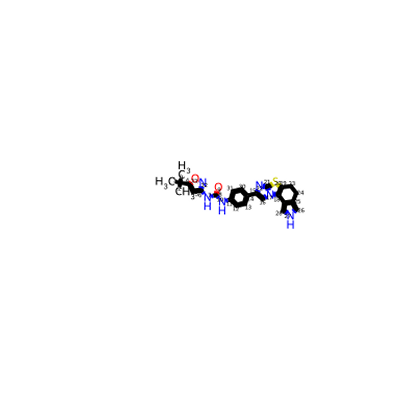 CC(C)(C)c1cc(NC(=O)Nc2ccc(-c3cn4c5c(sc4n3)CCc3c[nH]cc3-5)cc2)no1